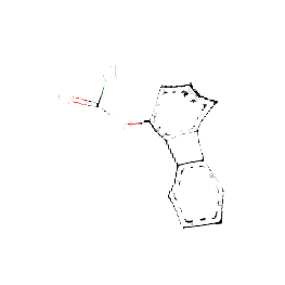 O=C(Cl)Oc1cccc2c1-c1ccccc1-2